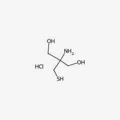 Cl.NC(CO)(CO)CS